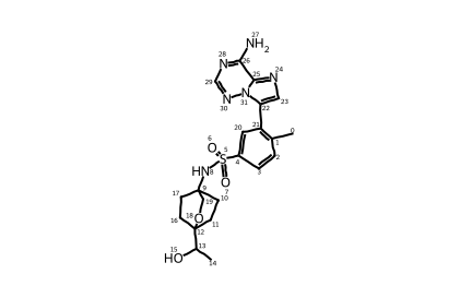 Cc1ccc(S(=O)(=O)NC23CCC(C(C)O)(CC2)OC3)cc1-c1cnc2c(N)ncnn12